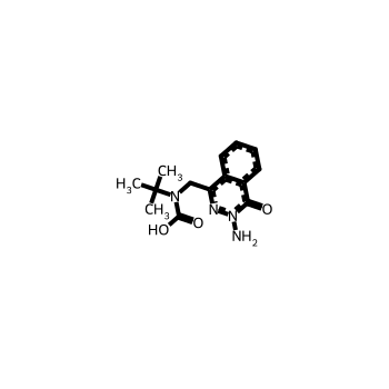 CC(C)(C)N(Cc1nn(N)c(=O)c2ccccc12)C(=O)O